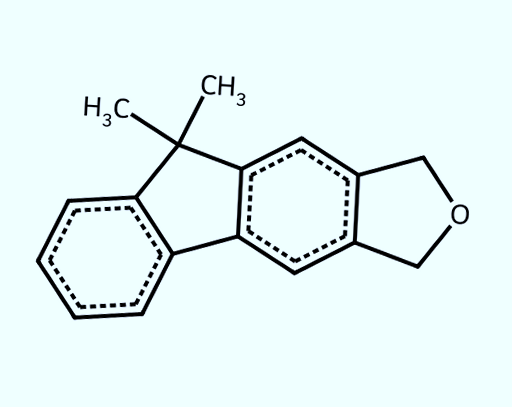 CC1(C)c2ccccc2-c2cc3c(cc21)COC3